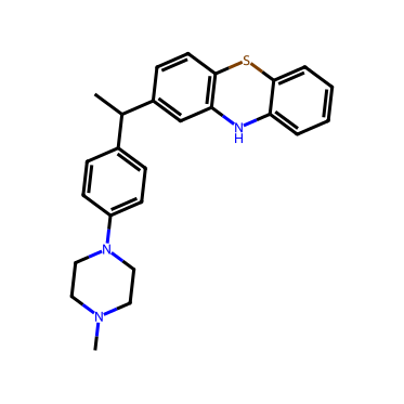 CC(c1ccc(N2CCN(C)CC2)cc1)c1ccc2c(c1)Nc1ccccc1S2